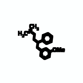 COc1cccc(CC(CCN(C)C)c2ccccc2)c1